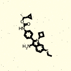 CCSc1ccc2c(N)c(-c3ccc(NC(=O)O[C@H](C)C4CC4)cc3)n(C3CCC3)c2c1